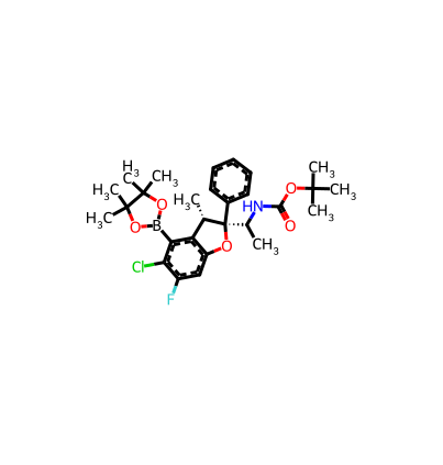 CC(NC(=O)OC(C)(C)C)[C@]1(c2ccccc2)Oc2cc(F)c(Cl)c(B3OC(C)(C)C(C)(C)O3)c2[C@@H]1C